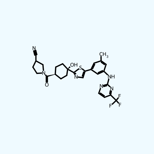 Cc1cc(Nc2nccc(C(F)(F)F)n2)cc(-c2cnc([C@]3(O)CC[C@@H](C(=O)N4CCC(C#N)C4)CC3)s2)c1